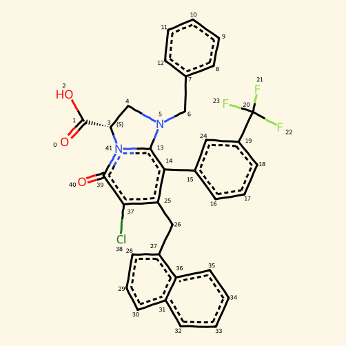 O=C(O)[C@@H]1CN(Cc2ccccc2)c2c(-c3cccc(C(F)(F)F)c3)c(Cc3cccc4ccccc34)c(Cl)c(=O)n21